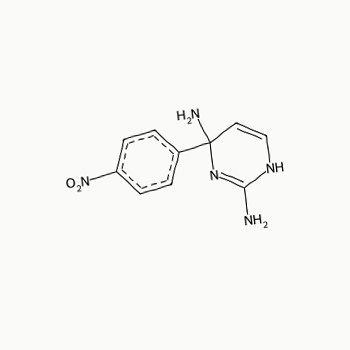 NC1=NC(N)(c2ccc([N+](=O)[O-])cc2)C=CN1